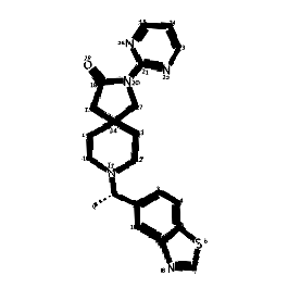 C[C@@H](c1ccc2scnc2c1)N1CCC2(CC1)CC(=O)N(c1ncccn1)C2